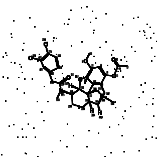 COc1cc(OC(C)=O)c2c3c1O[C@H]1[C@H](N(C)C(=O)Cc4ccc(Cl)c(Cl)c4)CC[C@H]4[C@@H](C2)N(C)CC[C@@]341